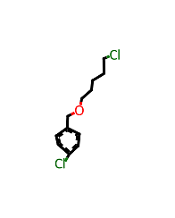 ClCCCCCOCc1ccc(Cl)cc1